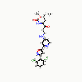 CC(C)(C)OC(=O)NC(CCC(=O)O)C(=O)CCNc1ccnc(-c2cc(-c3c(Cl)cccc3Cl)no2)c1